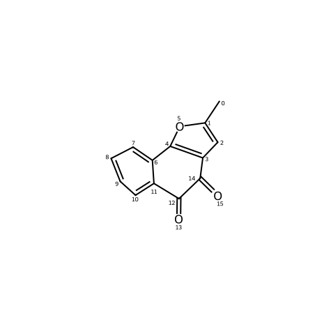 Cc1cc2c(o1)-c1ccccc1C(=O)C2=O